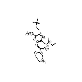 CC[C@H](C)[C@H](NC(=O)[C@H]1CNCCO1)C(=O)N[C@@H](CCC(C)(C)C)C(=O)O